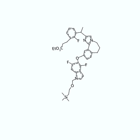 CCOC(=O)CCc1cccc(C(C)c2cn3c(n2)-c2cc(Oc4c(F)cc5c(ccn5COCC[Si](C)(C)C)c4F)ccc2CCC3)c1F